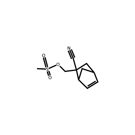 CS(=O)(=O)OCC1(C#N)CC2C=CC1C2